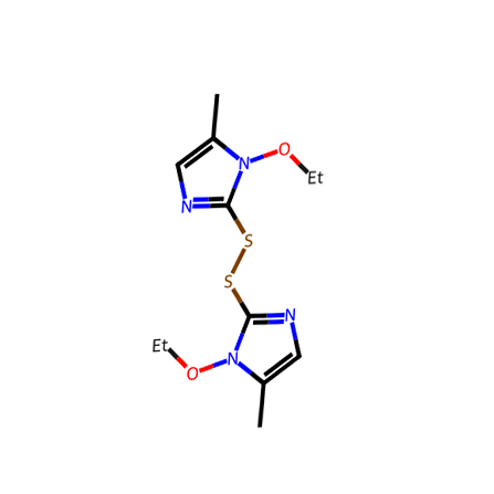 CCOn1c(C)cnc1SSc1ncc(C)n1OCC